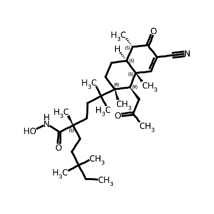 CCC(C)(C)CC[C@@](C)(CCC(C)(C)[C@]1(C)CC[C@H]2[C@H](C)C(=O)C(C#N)=C[C@]2(C)[C@H]1CC(C)=O)C(=O)NO